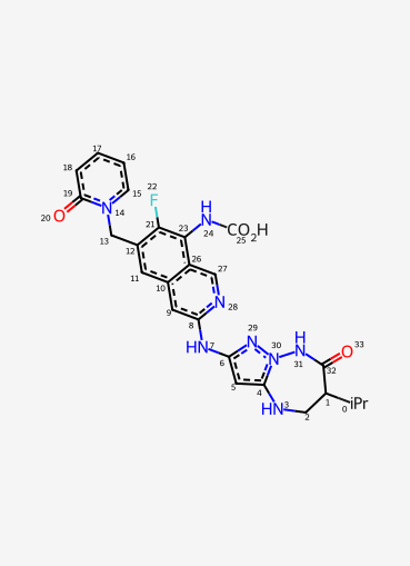 CC(C)C1CNc2cc(Nc3cc4cc(Cn5ccccc5=O)c(F)c(NC(=O)O)c4cn3)nn2NC1=O